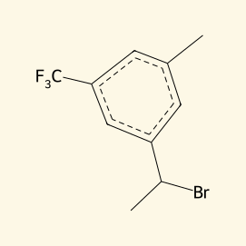 Cc1cc(C(C)Br)cc(C(F)(F)F)c1